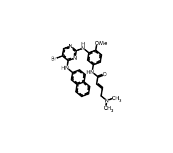 COc1ccc(NC(=O)/C=C/CN(C)C)cc1Nc1ncc(Br)c(Nc2ccc3ccccc3c2)n1